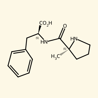 C[C@@]1(C(=O)N[C@@H](Cc2ccccc2)C(=O)O)CCCN1